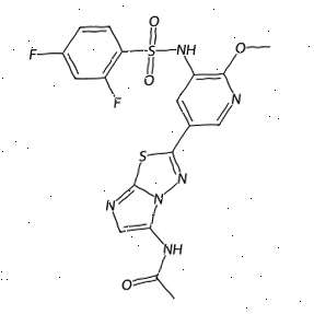 COc1ncc(-c2nn3c(NC(C)=O)cnc3s2)cc1NS(=O)(=O)c1ccc(F)cc1F